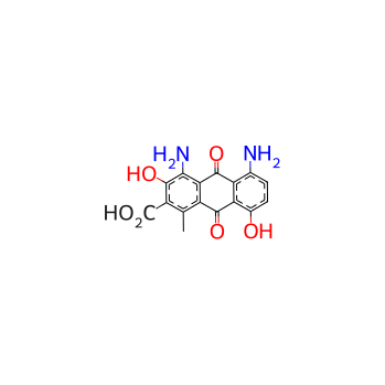 Cc1c(C(=O)O)c(O)c(N)c2c1C(=O)c1c(O)ccc(N)c1C2=O